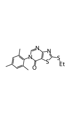 CCSc1nc2ncn(-c3c(C)cc(C)cc3C)c(=O)c2s1